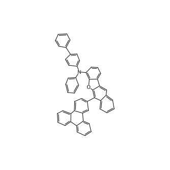 c1ccc(-c2ccc(N(c3ccccc3)c3cccc4c3oc3c(-c5ccc6c7ccccc7c7ccccc7c6c5)c5ccccc5cc34)cc2)cc1